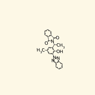 Cc1cc(C(C)N2C(=O)c3ccccc3C2=O)c(O)c(-n2nc3ccccc3n2)c1